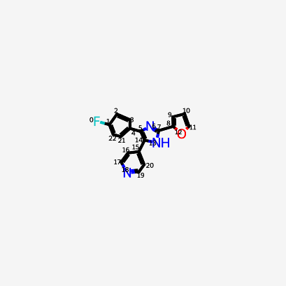 Fc1ccc(-c2nc(-c3ccco3)[nH]c2-c2ccncc2)cc1